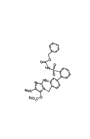 CCCCc1nc(SC)c(OC(=O)OCC)n1Cc1ccc(-c2ccccc2S(=O)(=O)NC(=O)OCc2ccccc2)cc1